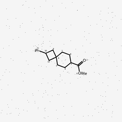 COC(=O)C1CCC2(CC1)CC(C(C)C)C2